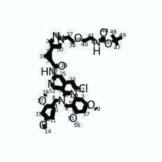 COc1ccc(CN(Cc2ccc(OC)cc2OC)c2nc(Cl)cc3cc(NC(=O)C4CC4c4cnn(CCOCCNC(=O)OC(C)(C)C)c4)ncc23)c(OC)c1